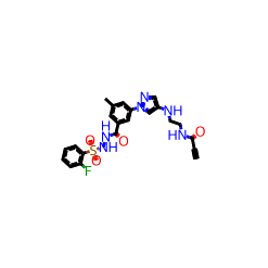 C#CC(=O)NCCNc1cnn(-c2cc(C)cc(C(=O)NNS(=O)(=O)c3ccccc3F)c2)c1